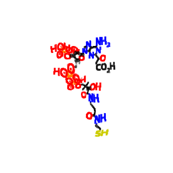 CC(C)(COP(=O)(O)OP(=O)(O)OC[C@H]1O[C@@H](n2cnc3c(N)nc(C(=O)CC(=O)O)nc32)[C@H](O)[C@@H]1OP(=O)(O)O)[C@@H](O)C(=O)NCCC(=O)NCCS